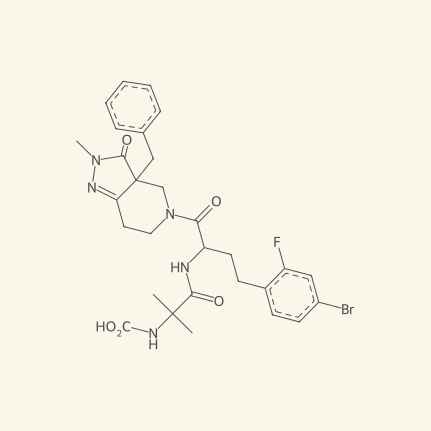 CN1N=C2CCN(C(=O)C(CCc3ccc(Br)cc3F)NC(=O)C(C)(C)NC(=O)O)CC2(Cc2ccccc2)C1=O